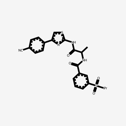 CC(NC(=O)c1cccc(S(=O)(=O)C(C)C)c1)C(=O)Nc1nc(-c2ccc(C#N)cc2)cs1